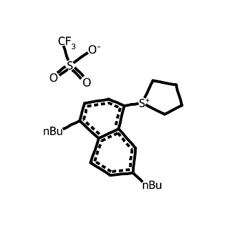 CCCCc1ccc2c(CCCC)ccc([S+]3CCCC3)c2c1.O=S(=O)([O-])C(F)(F)F